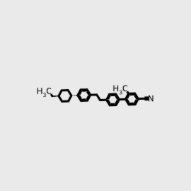 CC[C@H]1CC[C@H](c2ccc(CCc3ccc(-c4ccc(C#N)cc4C)cc3)cc2)CC1